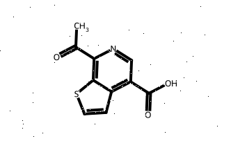 CC(=O)c1ncc(C(=O)O)c2ccsc12